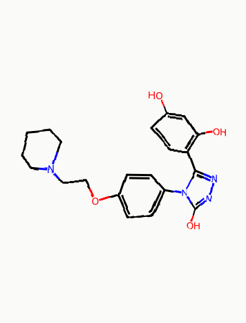 Oc1ccc(-c2nnc(O)n2-c2ccc(OCCN3CCCCC3)cc2)c(O)c1